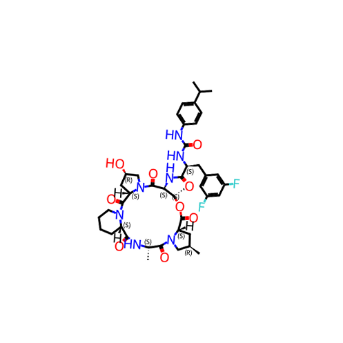 CC(C)c1ccc(NC(=O)N[C@@H](Cc2cc(F)cc(F)c2)C(=O)N[C@@H]2C(=O)N3C[C@H](O)C[C@H]3C(=O)N3CCCC[C@H]3C(=O)N[C@@H](C)C(=O)N3C[C@H](C)C[C@H]3C(=O)O[C@H]2C)cc1